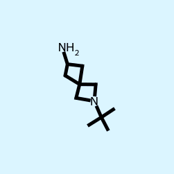 CC(C)(C)N1CC2(CC(N)C2)C1